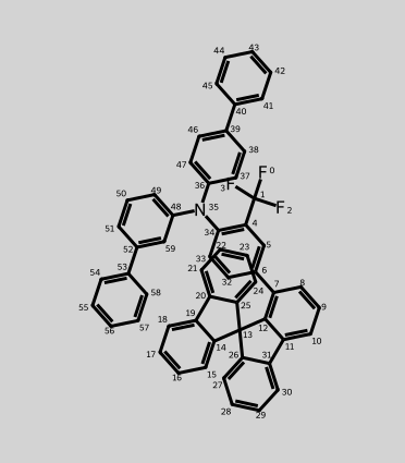 FC(F)(F)c1cc(-c2cccc3c2C2(c4ccccc4-c4ccccc42)c2ccccc2-3)ccc1N(c1ccc(-c2ccccc2)cc1)c1cccc(-c2ccccc2)c1